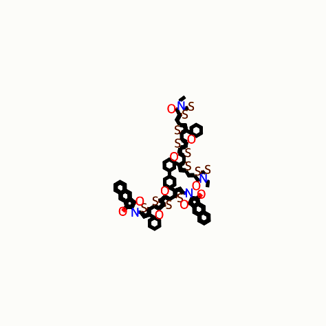 CCN1C(=O)/C(=C/c2cc3c(s2)-c2sc4c5c(sc4c2OC32CCCCC2)-c2sc(/C=C3\SC(=S)N(CC)C3=O)cc2C2(CCCC(C3CCC4(CC3)Oc3c(sc6c7c(sc36)-c3sc(N=c6c(=O)c8cc9ccccc9cc8c6=O)cc3C3(CCCCC3)O7)-c3sc(N=c6c(=O)c7cc8ccccc8cc7c6=O)cc34)C2)O5)SC1=S